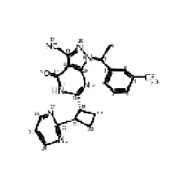 CC(c1cccc(C(F)(F)F)c1)n1nc(C#N)c2c(=O)[nH]c([C@@H]3CC[C@H]3c3ncccn3)nc21